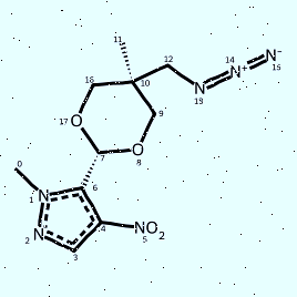 Cn1ncc([N+](=O)[O-])c1[C@H]1OC[C@](C)(CN=[N+]=[N-])CO1